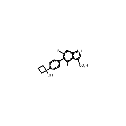 O=C(O)c1c[nH]c2cc(F)c(-c3ccc(C4(O)CCC4)cc3)c(F)c12